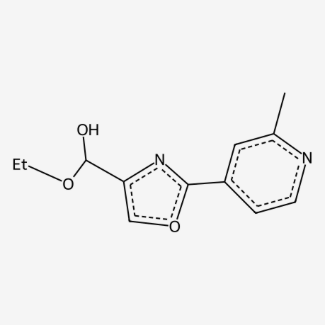 CCOC(O)c1coc(-c2ccnc(C)c2)n1